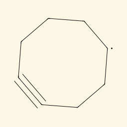 C1#CCCC[CH]CC1